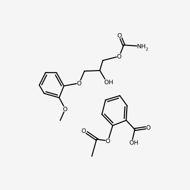 CC(=O)Oc1ccccc1C(=O)O.COc1ccccc1OCC(O)COC(N)=O